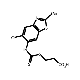 CC(C)(C)c1nc2cc(Cl)c(NC(=S)SCCC(=O)O)cc2s1